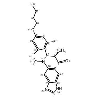 C[C@@H](C=O)[C@@H](c1c(F)cc(OCCCF)cc1F)N(C)c1ccc2[nH]cnc2c1